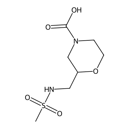 CS(=O)(=O)NCC1CN(C(=O)O)CCO1